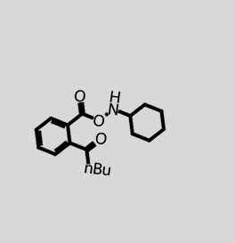 CCCCC(=O)c1ccccc1C(=O)ONC1CCCCC1